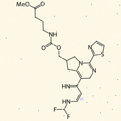 COC(=O)CCCNC(=O)OCC1CC2=C(C(=N)/C=C\NC(F)F)CN=C(c3nccs3)N2C1